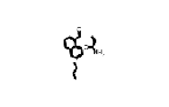 C=CC(N)=O.CCCC.O=Cc1cccc2ccccc12